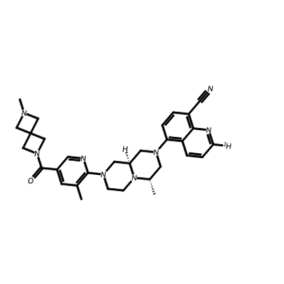 [2H]c1ccc2c(N3C[C@@H]4CN(c5ncc(C(=O)N6CC7(CN(C)C7)C6)cc5C)CCN4[C@@H](C)C3)ccc(C#N)c2n1